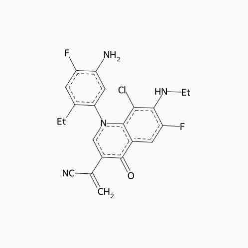 C=C(C#N)c1cn(-c2cc(N)c(F)cc2CC)c2c(Cl)c(NCC)c(F)cc2c1=O